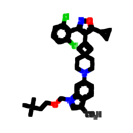 C[Si](C)(C)CCOCn1cc(C(=O)O)c2ccc(N3CCC4(C=C(c5c(-c6c(Cl)cccc6Cl)noc5C5CC5)C4)CC3)cc21